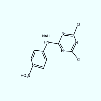 O=S(=O)(O)c1ccc(Nc2nc(Cl)nc(Cl)n2)cc1.[NaH]